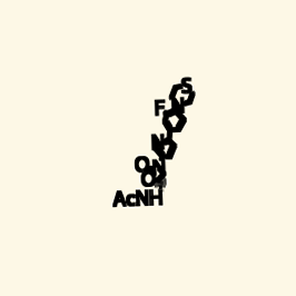 CC(=O)NC[C@H]1CN(c2ccc(-c3ccc(N4CCSCC4)c(F)c3)nc2)C(=O)O1